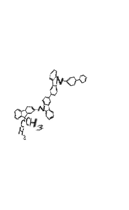 CC1(C)C2=CC(n3c4ccccc4c4cc(-c5ccc6c(c5)c5ccccc5n6C5CC=C(c6ccccc6)CC5)ccc43)=CCC2c2ccccc21